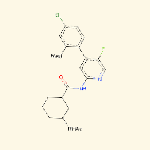 COc1cc(Cl)ccc1-c1cc(NC(=O)C2CCCC(NC(C)=O)C2)ncc1F